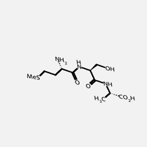 CSCC[C@H](N)C(=O)N[C@@H](CO)C(=O)N[C@@H](C)C(=O)O